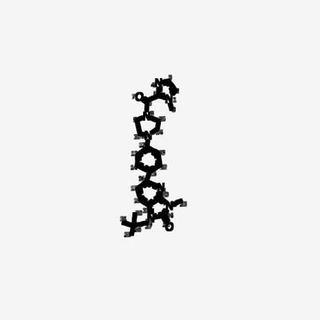 Cn1ccnc1C(=O)N1CCN(c2ccc(-c3ccc4c(n3)n(C)c(=O)n4CC(C)(C)C)cc2)CC1